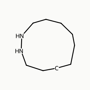 C1CCCCNNCCCC1